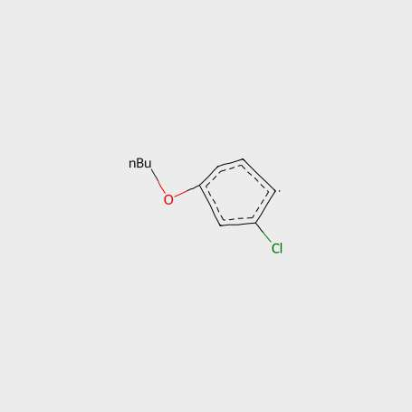 CCCCOc1cc[c]c(Cl)c1